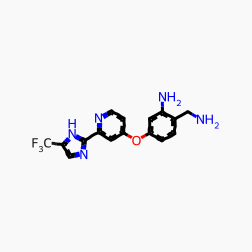 NCc1ccc(Oc2ccnc(-c3ncc(C(F)(F)F)[nH]3)c2)cc1N